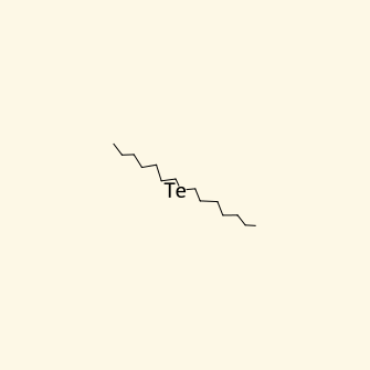 CCCCCCC[Te]CCCCCCC